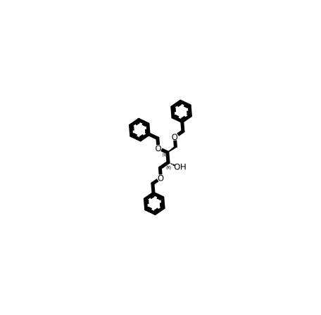 O[C@H](COCc1ccccc1)[C@H](COCc1ccccc1)OCc1ccccc1